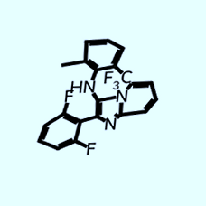 Cc1cccc(C)c1Nc1c(-c2c(F)cccc2F)nc2cccc(C(F)(F)F)n12